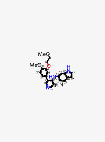 COCCOc1cc(-c2cncc(C#N)c2Nc2ccc3cc[nH]c3c2)ccc1OC